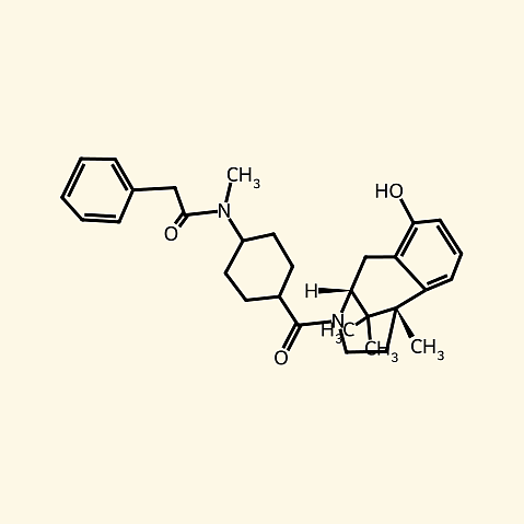 CN(C(=O)Cc1ccccc1)C1CCC(C(=O)N2CC[C@@]3(C)c4cccc(O)c4C[C@@H]2C3(C)C)CC1